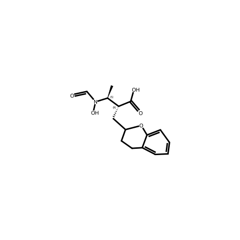 C[C@@H]([C@@H](CC1CCc2ccccc2O1)C(=O)O)N(O)C=O